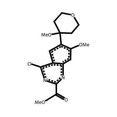 COC(=O)c1nc(Cl)c2cc(C3(OC)CCOCC3)c(OC)cc2n1